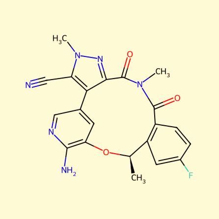 C[C@H]1Oc2cc(cnc2N)-c2c(nn(C)c2C#N)C(=O)N(C)C(=O)c2ccc(F)cc21